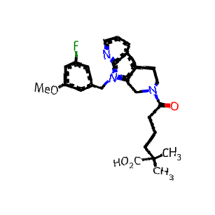 COc1cc(F)cc(Cn2c3c(c4cccnc42)CCN(C(=O)CCCC(C)(C)C(=O)O)C3)c1